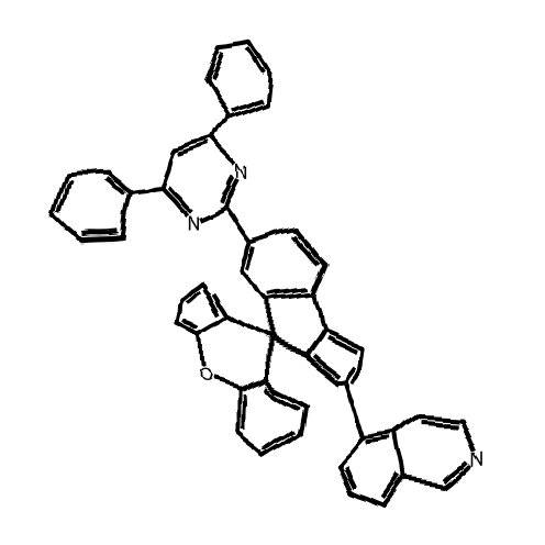 c1ccc(-c2cc(-c3ccccc3)nc(-c3ccc4c(c3)C3(c5ccccc5Oc5ccccc53)c3cc(-c5cccc6cnccc56)ccc3-4)n2)cc1